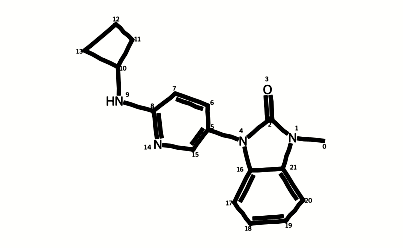 Cn1c(=O)n(-c2ccc(NC3CCC3)nc2)c2ccccc21